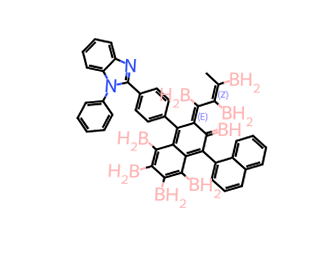 B=c1c(-c2cccc3ccccc23)c2c(B)c(B)c(B)c(B)c2c(-c2ccc(-c3nc4ccccc4n3-c3ccccc3)cc2)/c1=C(B)/C(B)=C(/B)C